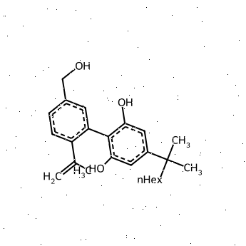 C=C(C)c1ccc(CO)cc1-c1c(O)cc(C(C)(C)CCCCCC)cc1O